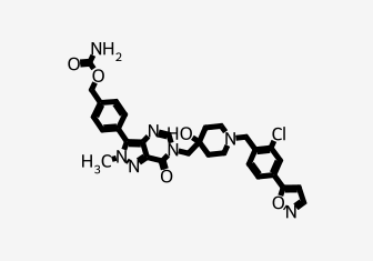 Cn1nc2c(=O)n(CC3(O)CCN(Cc4ccc(-c5ccno5)cc4Cl)CC3)cnc2c1-c1ccc(COC(N)=O)cc1